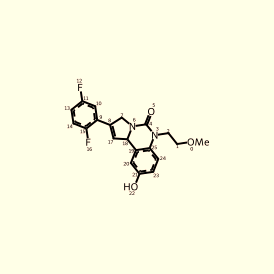 COCCN1C(=O)N2CC(c3cc(F)ccc3F)=CC2c2cc(O)ccc21